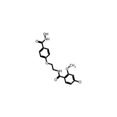 COc1cc(Cl)ccc1C(=O)NCCOc1ccc(C(=O)NO)cc1